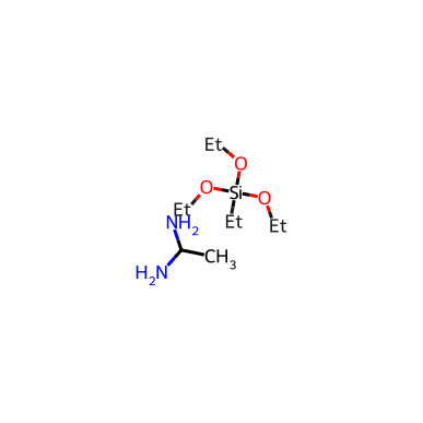 CC(N)N.CCO[Si](CC)(OCC)OCC